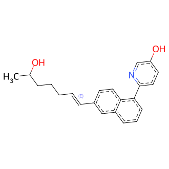 CC(O)CCC/C=C/c1ccc2c(-c3ccc(O)cn3)cccc2c1